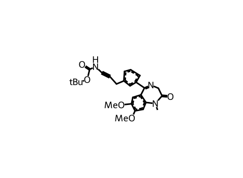 COc1cc2c(cc1OC)N(C)C(=O)CN=C2c1cccc(CC#CNC(=O)OC(C)(C)C)c1